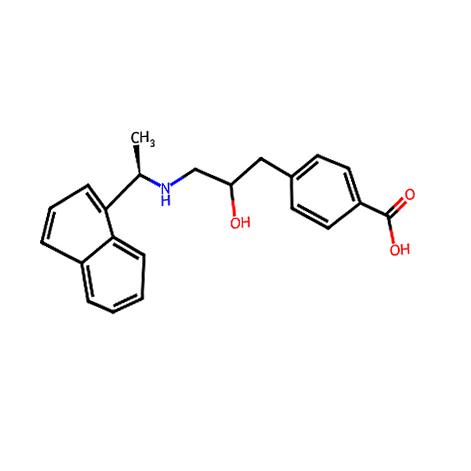 C[C@@H](NCC(O)Cc1ccc(C(=O)O)cc1)c1cccc2ccccc12